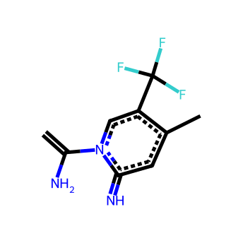 C=C(N)n1cc(C(F)(F)F)c(C)cc1=N